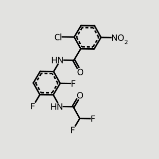 O=C(Nc1ccc(F)c(NC(=O)C(F)F)c1F)c1cc([N+](=O)[O-])ccc1Cl